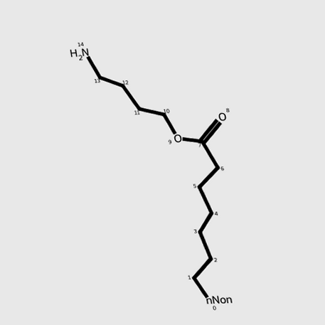 CCCCCCCCCCCCCCCC(=O)OCCCCN